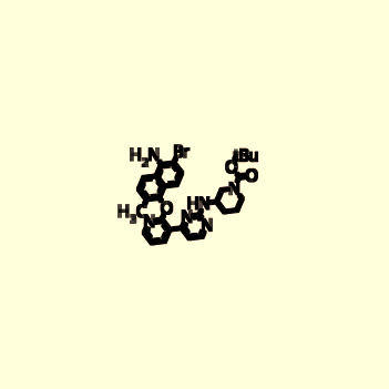 Cc1ccc2c(N)c(Br)ccc2c1Oc1ncccc1-c1ccnc(NC2CCCN(C(=O)OC(C)(C)C)C2)n1